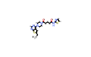 CCc1cc2c(N3CCN(C(=O)CCCC(=O)Nc4nccs4)CC3)ncnc2s1